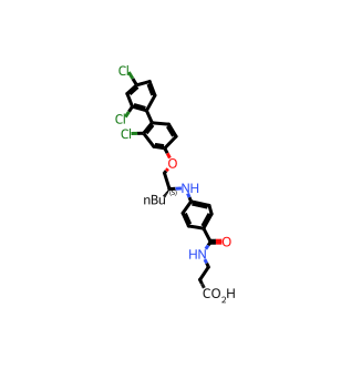 CCCC[C@@H](COc1ccc(-c2ccc(Cl)cc2Cl)c(Cl)c1)Nc1ccc(C(=O)NCCC(=O)O)cc1